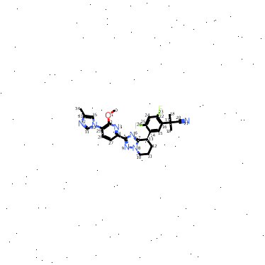 COc1nc(-c2nc3n(n2)CCC[C@@H]3c2cc(C(C)(C)C#N)c(F)cc2F)ccc1-n1cnc(C)c1